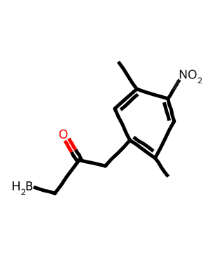 BCC(=O)Cc1cc(C)c([N+](=O)[O-])cc1C